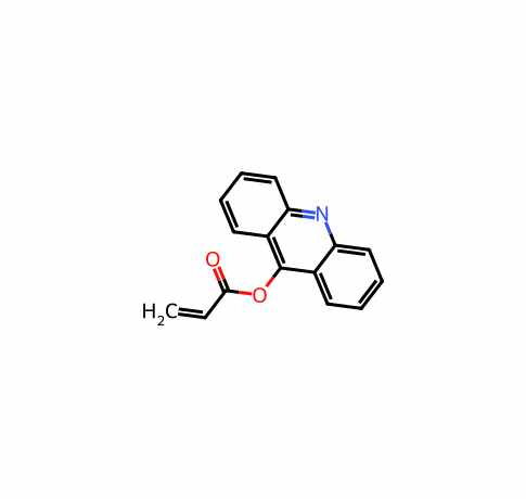 C=CC(=O)Oc1c2ccccc2nc2ccccc12